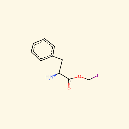 N[C@@H](Cc1ccccc1)C(=O)OCI